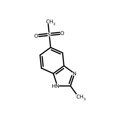 Cc1nc2cc(S(C)(=O)=O)ccc2[nH]1